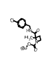 CC(C)(C)OC(=O)N1CCC1(C)C(=O)NCc1ccc(Cl)cc1